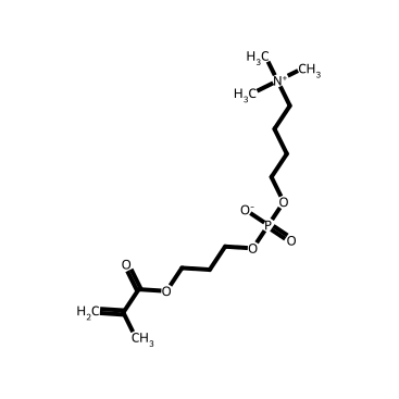 C=C(C)C(=O)OCCCOP(=O)([O-])OCCCC[N+](C)(C)C